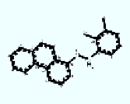 Cc1cccc([SiH2]Oc2cccc3c2ccc2ccccc23)c1C